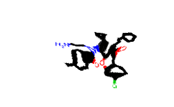 Cc1ccc(C(=O)N(CCCN)C(c2oc3cc(Cl)ccc3c(=O)c2Cc2ccccc2)C2CC2)cc1